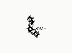 COCN1c2cc(Cn3ccc4cccnc43)ccc2Sc2nccnc21